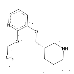 CCOc1ncccc1OC[C@H]1CCCNC1